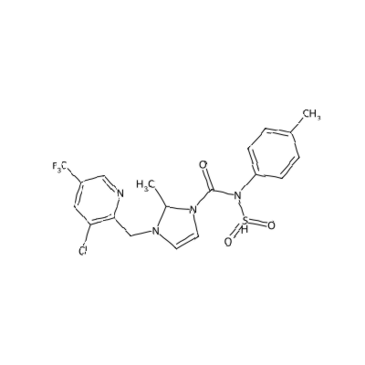 Cc1ccc(N(C(=O)N2C=CN(Cc3ncc(C(F)(F)F)cc3Cl)C2C)[SH](=O)=O)cc1